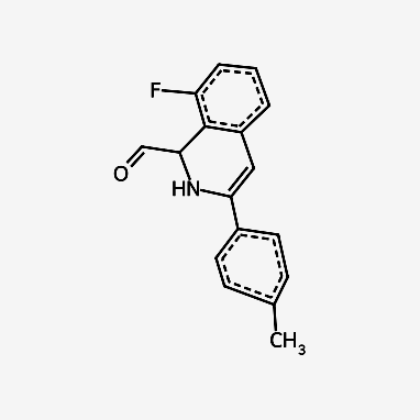 Cc1ccc(C2=Cc3cccc(F)c3C(C=O)N2)cc1